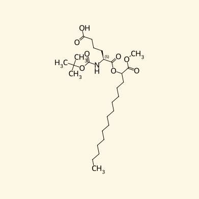 CCCCCCCCCCCCCC(OC(=O)[C@H](CCCC(=O)O)NC(=O)OC(C)(C)C)C(=O)OC